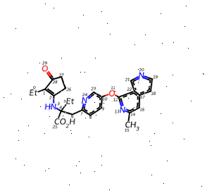 CCC1=C(NC(CC)(Cc2ccc(Oc3nc(C)cc4ccncc34)cn2)C(=O)O)CCC1=O